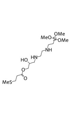 CO[Si](CCNCCNCC(O)COC(=O)CCSC)(OC)OC